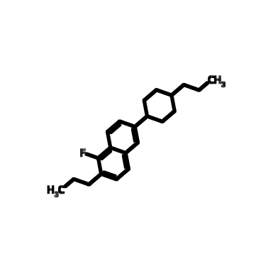 CCCc1ccc2cc(C3CCC(CCC)CC3)ccc2c1F